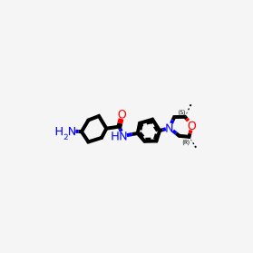 C[C@@H]1CN(c2ccc(NC(=O)C3CCC(N)CC3)cc2)C[C@H](C)O1